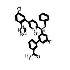 CC(=O)c1cccc(-c2cc(F)cc([C@H](Cc3ccccc3)c3ccc(-c4cc(Cl)ccc4-n4cnnn4)c[n+]3[O-])c2)c1